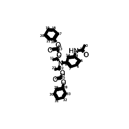 CC(=O)Nc1cccc(N(C(C)OC(=O)Oc2ccccc2)C(C)OC(=O)Oc2ccccc2)c1